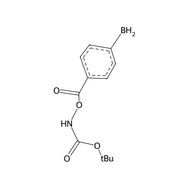 Bc1ccc(C(=O)ONC(=O)OC(C)(C)C)cc1